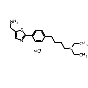 CCN(CC)CCCCc1ccc(-c2ncc(CN)s2)cc1.Cl